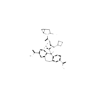 C=C(NCC)c1ccc2c(c1)CCc1cc(C(=O)NCC)ccc1C2(C[C@H](NCC(=O)N1C(C#N)C[C@@H]2C[C@@H]21)C1CCC1)c1nnn[nH]1